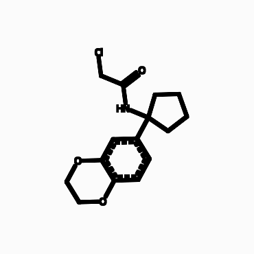 O=C(CCl)NC1(c2ccc3c(c2)OCCO3)CCCC1